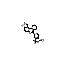 CC1(C)OB(O)c2ccc(-c3nc4c(c5c3CCCC5)C3C=NNC3C=C4)cc21